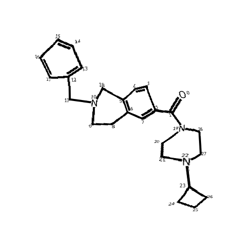 O=C(c1ccc2c(c1)CCN(Cc1ccccc1)C2)N1CCN(C2CCC2)CC1